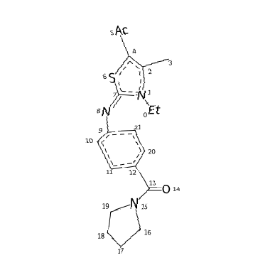 CCn1c(C)c(C(C)=O)sc1=Nc1ccc(C(=O)N2CCCC2)cc1